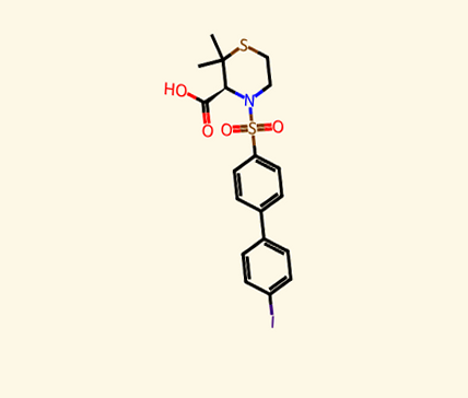 CC1(C)SCCN(S(=O)(=O)c2ccc(-c3ccc(I)cc3)cc2)[C@H]1C(=O)O